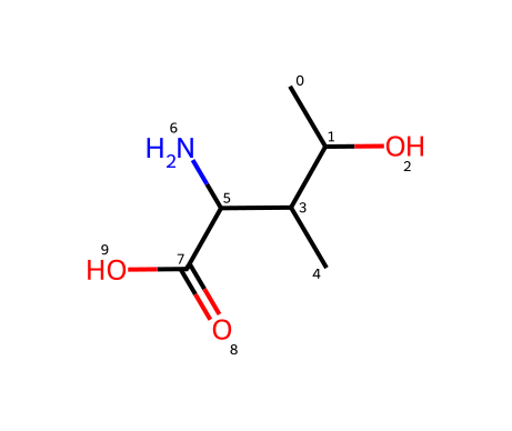 CC(O)C(C)C(N)C(=O)O